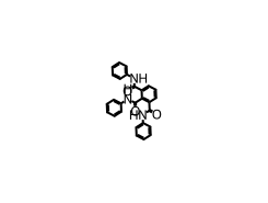 O=C(Nc1ccccc1)c1cccc(C(=O)Nc2ccccc2)c1C(=O)Nc1ccccc1